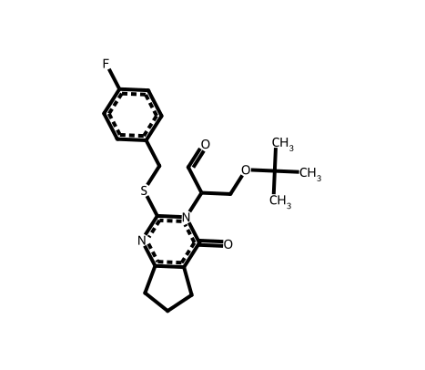 CC(C)(C)OCC(C=O)n1c(SCc2ccc(F)cc2)nc2c(c1=O)CCC2